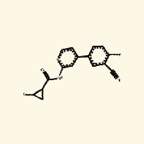 N#Cc1cc(-c2ccnc(NC(=O)C3CC3F)c2)ccc1F